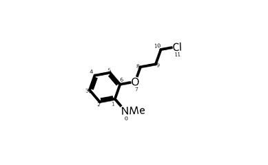 CNc1c[c]ccc1OCCCCl